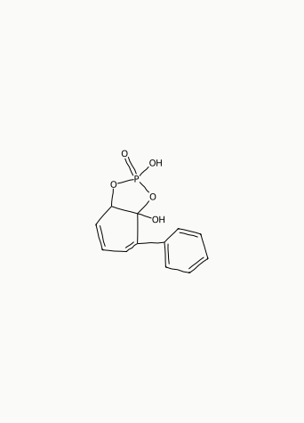 O=P1(O)OC2C=CC=C(c3ccccc3)C2(O)O1